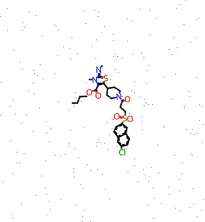 CCCCOC(=O)c1c(C2CCN(C(=O)CCS(=O)(=O)c3ccc4cc(Cl)ccc4c3)CC2)s/c(=N\C)n1C